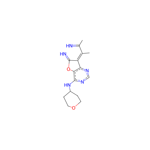 CC(=N)/C(C)=C1\C(=N)Oc2c(NC3CCOCC3)ncnc21